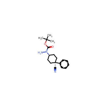 CC(C)(C)OC(=O)N(N)[C@H]1CC[C@@](C#N)(c2ccccc2)CC1